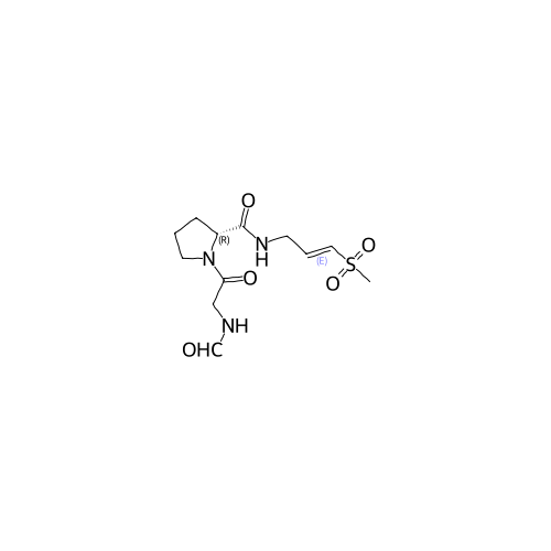 CS(=O)(=O)/C=C/CNC(=O)[C@H]1CCCN1C(=O)CNC=O